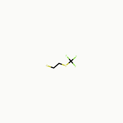 FC(F)(F)SCC[S]